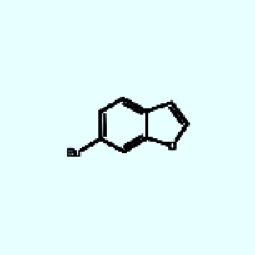 CCC(C)c1ccc2ccoc2c1